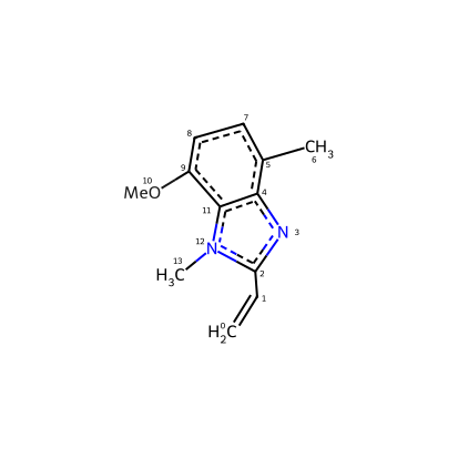 C=Cc1nc2c(C)ccc(OC)c2n1C